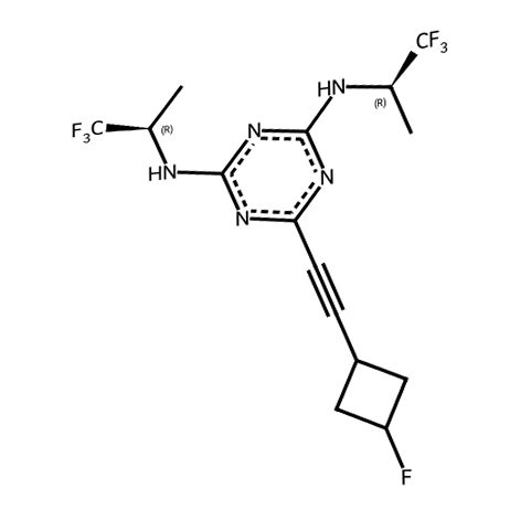 C[C@@H](Nc1nc(C#CC2CC(F)C2)nc(N[C@H](C)C(F)(F)F)n1)C(F)(F)F